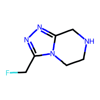 FCc1nnc2n1CCNC2